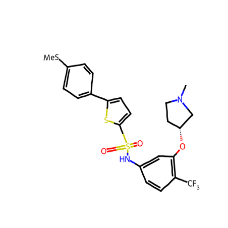 CSc1ccc(-c2ccc(S(=O)(=O)Nc3ccc(C(F)(F)F)c(O[C@@H]4CCN(C)C4)c3)s2)cc1